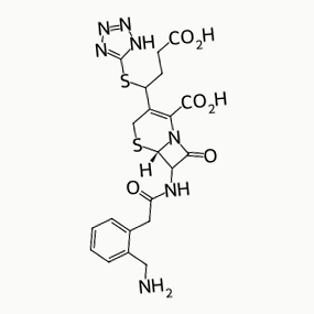 NCc1ccccc1CC(=O)NC1C(=O)N2C(C(=O)O)=C(C(CCC(=O)O)Sc3nnn[nH]3)CS[C@@H]12